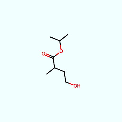 CC(C)OC(=O)C(C)CCO